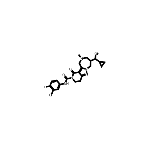 CN1Cc2c3c(nn2CC(C(O)C2CC2)C1)CCN(C(=O)Nc1ccc(F)c(Cl)c1)C3=O